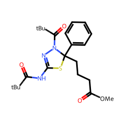 COC(=O)CCCC1(c2ccccc2)SC(NC(=O)C(C)(C)C)=NN1C(=O)C(C)(C)C